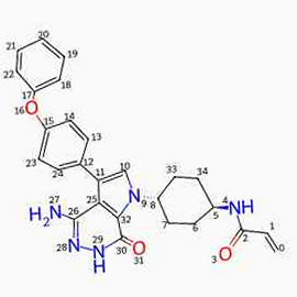 C=CC(=O)N[C@H]1CC[C@H](n2cc(-c3ccc(Oc4ccccc4)cc3)c3c(N)n[nH]c(=O)c32)CC1